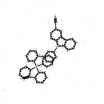 N#Cc1ccc2c(c1)c1ccccc1n2-c1cccc(-c2ccccc2[Si](c2ccccc2)(c2ccccc2)c2ccccc2C#N)c1